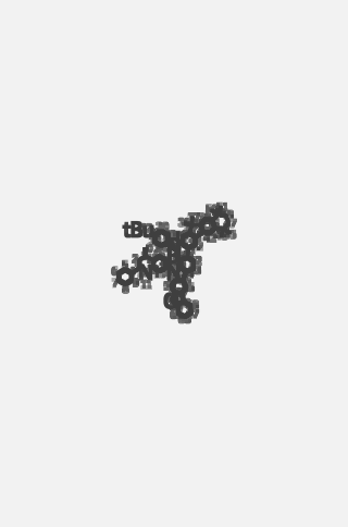 C=C1C=C(c2ccccc2)N(C)c2cc3c(cc21)Bc1c(-c2cc4c(cc2Nc2ccc(C(C)(C)C)cc2)C(C)(C)c2cc5c(cc2-4)C(C)(C)CCC5(C)C)ccc2c4cc5c(cc4n-3c12)oc1ccccc15